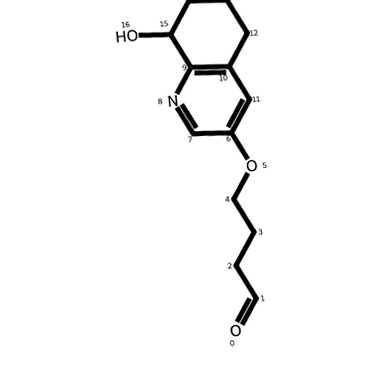 O=CCCCOc1cnc2c(c1)CCCC2O